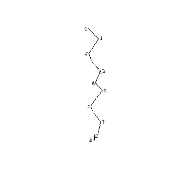 CCC[CH]CCCCF